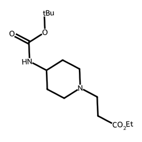 CCOC(=O)CCN1CCC(NC(=O)OC(C)(C)C)CC1